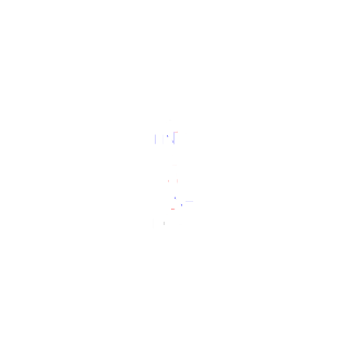 CC(=O)NCCOCCOCCNC(=O)CC(C)C